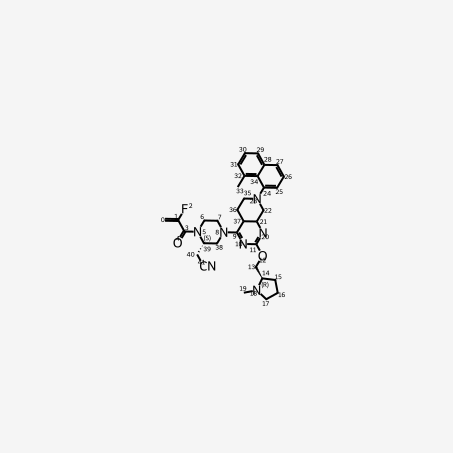 C=C(F)C(=O)N1CCN(C2=NC(OC[C@H]3CCCN3C)=NC3CN(c4cccc5cccc(C)c45)CCC23)C[C@@H]1CC#N